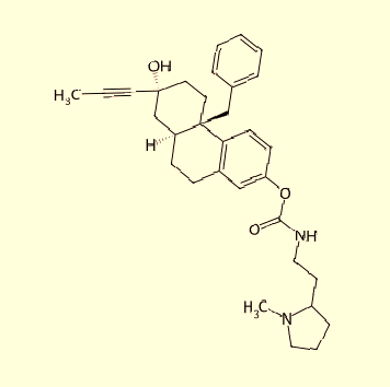 CC#C[C@@]1(O)CC[C@]2(Cc3ccccc3)c3ccc(OC(=O)NCCC4CCCN4C)cc3CC[C@H]2C1